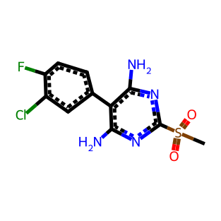 CS(=O)(=O)c1nc(N)c(-c2ccc(F)c(Cl)c2)c(N)n1